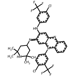 CC1(C)CC(N=c2cc3n(-c4ccc(Cl)c(C(F)(F)F)c4)c4ccccc4nc-3cc2Nc2ccc(Cl)c(C(F)(F)F)c2)CC(C)(C)N1